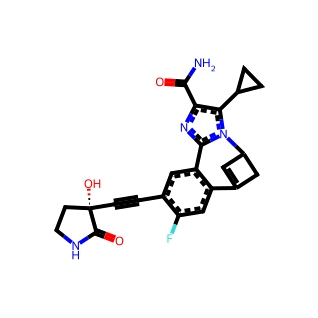 NC(=O)c1nc2n(c1C1CC1)C1C=C(C1)c1cc(F)c(C#C[C@]3(O)CCNC3=O)cc1-2